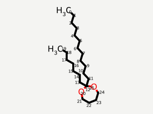 CCCCCCCCCCCCC1(CCCCCCC)OCCCCO1